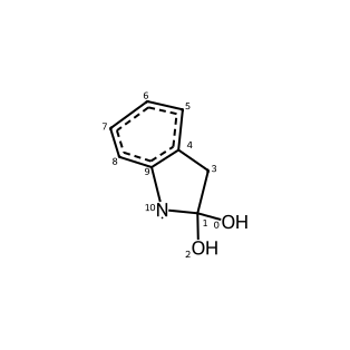 OC1(O)Cc2ccccc2[N]1